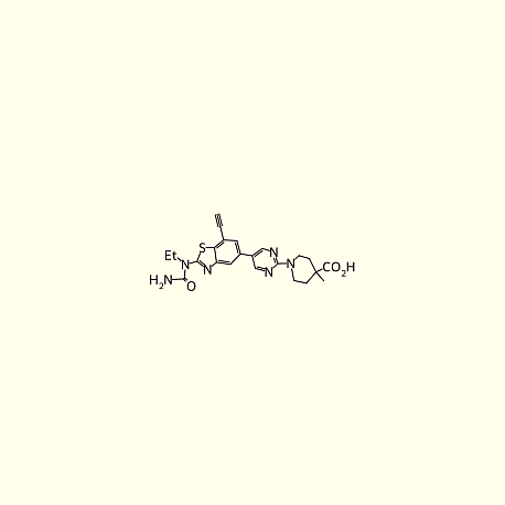 C#Cc1cc(-c2cnc(N3CCC(C)(C(=O)O)CC3)nc2)cc2nc(N(CC)C(N)=O)sc12